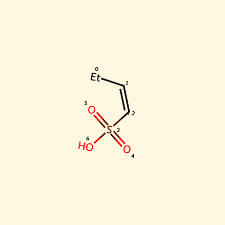 CC/C=[C]\S(=O)(=O)O